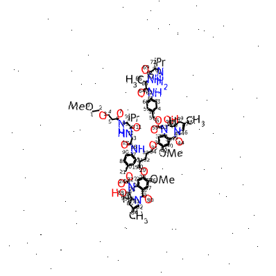 COCCOCCC(=O)N[C@@H](C(=O)NCC(=O)Nc1ccc(COC(=O)N2c3cc(OCCCCCOc4cc5c(cc4OC)C(=O)N4C=C(C)C[C@H]4[C@H](O)N5C(=O)OCc4ccc(NC(=O)[C@@H](C)NC(=O)[C@H](N)C(C)C)cc4)c(OC)cc3C(=O)N3C=C(C)C[C@H]3[C@@H]2O)cc1)C(C)C